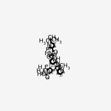 CC(C)(C)c1ccc(C(=O)NS(=O)(=O)c2cccc(NC(C)(CC[C@@H]3CN(C(=O)O)C(C)(C)C3)c3ccccn3)n2)c(F)n1